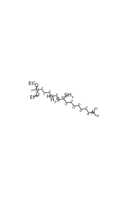 CCO[Si](C)(CCCNC[SiH2]C([SiH3])CCCCCCCN(C)C)OCC